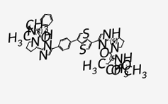 COC(=O)N[C@H](C(=O)N1CCC[C@H]1c1nc(-c2csc3c(-c4ccc(-c5cnc(C6CCCN6C(=O)[C@@H](c6ccccc6)N(C)C)[nH]5)cc4)csc23)c[nH]1)C(C)C